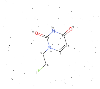 O=C1C=CN(CCF)C(=O)[N]1